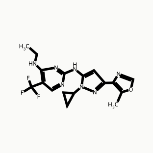 CCNc1nc(Nc2cc(-c3ncoc3C)nn2C2CC2)ncc1C(F)(F)F